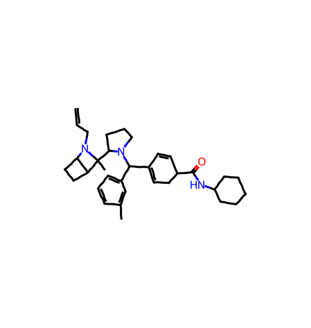 C=CCN1C2CCC2C1(C)C1CCCN1C(C1=CCC(C(=O)NC2CCCCC2)C=C1)c1cccc(C)c1